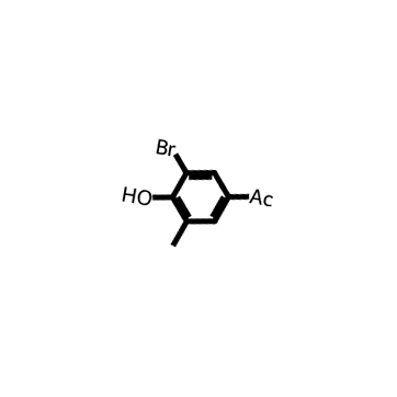 CC(=O)c1cc(C)c(O)c(Br)c1